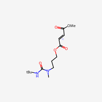 COC(=O)/C=C/C(=O)OCCCN(C)C(=O)NC(C)(C)C